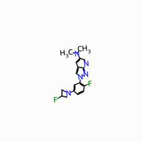 CN(C)c1cnc2nn(-c3cc(N4CC(F)C4)ccc3F)cc2c1